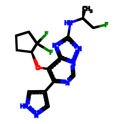 C[C@@H](CF)Nc1nc2c(O[C@H]3CCCC3(F)F)c(-c3cn[nH]c3)ncn2n1